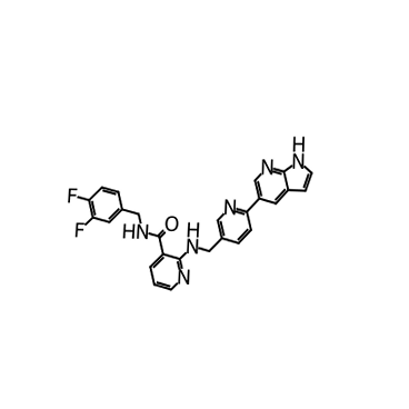 O=C(NCc1ccc(F)c(F)c1)c1cccnc1NCc1ccc(-c2cnc3[nH]ccc3c2)nc1